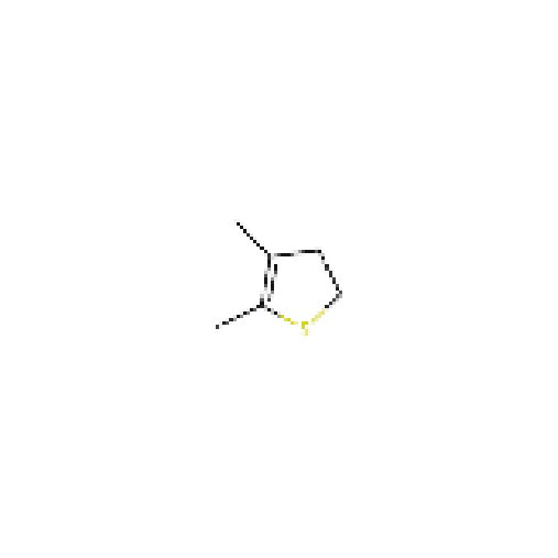 CC1=C(C)SCC1